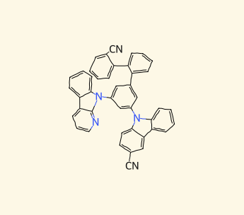 N#Cc1ccc2c(c1)c1ccccc1n2-c1cc(-c2ccccc2-c2ccccc2C#N)cc(-n2c3ccccc3c3cccnc32)c1